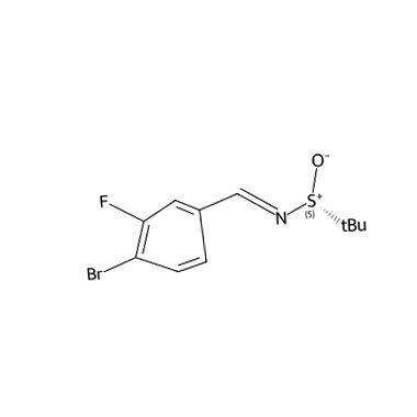 CC(C)(C)[S@@+]([O-])N=Cc1ccc(Br)c(F)c1